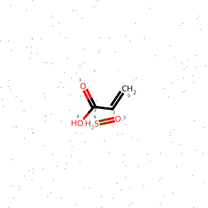 C=CC(=O)O.O=[SH2]